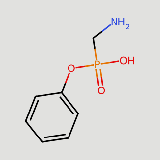 NCP(=O)(O)Oc1ccccc1